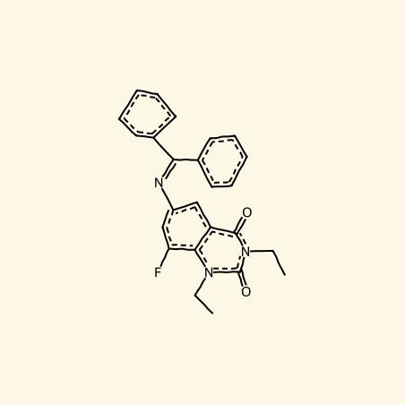 CCn1c(=O)c2cc(N=C(c3ccccc3)c3ccccc3)cc(F)c2n(CC)c1=O